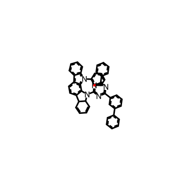 C1=CC2c3ccc4c5ccccc5n(-c5ccccc5)c4c3N(c3nc(-c4ccccc4)nc(-c4cccc(-c5ccccc5)c4)n3)C2C=C1